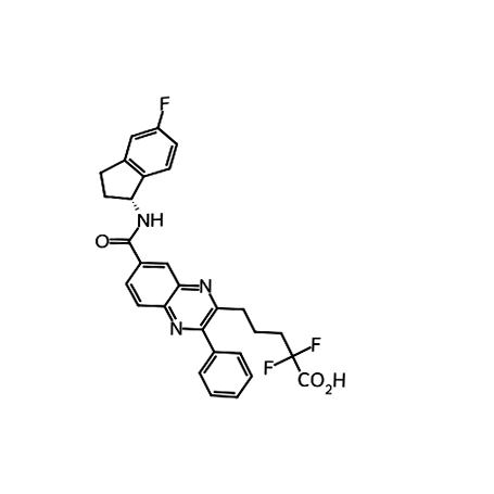 O=C(N[C@@H]1CCc2cc(F)ccc21)c1ccc2nc(-c3ccccc3)c(CCCC(F)(F)C(=O)O)nc2c1